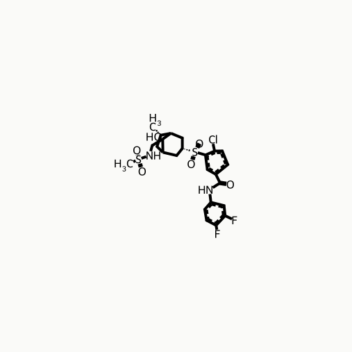 C[C@H]1CC2C[C@@H](S(=O)(=O)c3cc(C(=O)Nc4ccc(F)c(F)c4)ccc3Cl)CC1[C@@]2(O)CNS(C)(=O)=O